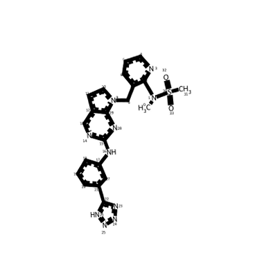 CN(c1ncccc1Cn1ccc2cnc(Nc3cccc(-c4nnn[nH]4)c3)nc21)S(C)(=O)=O